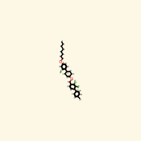 CCCCCCCCOc1ccc(C2CCC(OCc3ccc(-c4ccc(C)cc4)c(F)c3F)CC2)c(F)c1